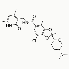 Cc1cc(C)c(CNC(=O)c2cc(Cl)c3c(c2C)OC(C)([C@@H]2CC[C@@H](N(C)C)CO2)O3)c(=O)[nH]1